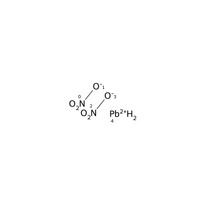 O=[N+]([O-])[O-].O=[N+]([O-])[O-].[PbH2+2]